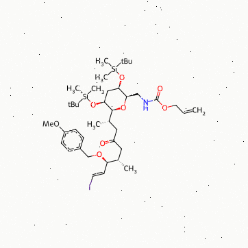 C=CCOC(=O)NC[C@H]1O[C@@H]([C@@H](C)CC(=O)C[C@H](C)[C@@H](/C=C/I)OCc2ccc(OC)cc2)[C@@H](O[Si](C)(C)C(C)(C)C)C[C@H]1O[Si](C)(C)C(C)(C)C